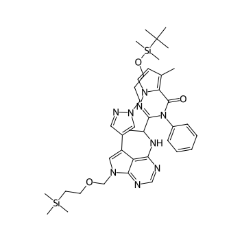 Cc1ccn2nc(C(C)Nc3ncnc4c3c(-c3cnn(CCCO[Si](C)(C)C(C)(C)C)c3)cn4COCC[Si](C)(C)C)n(-c3ccccc3)c(=O)c12